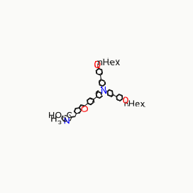 CCCCCCOc1ccc(-c2ccc(N(c3ccc(-c4ccc(OCCCCCC)cc4)cc3)c3ccc(-c4ccc(-c5cc6ccc(/C=C(/C=N\C)C(=O)O)cc6o5)cc4)cc3)cc2)cc1